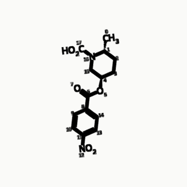 C[C@@H]1CC[C@@H](OC(=O)c2ccc([N+](=O)[O-])cc2)CN1C(=O)O